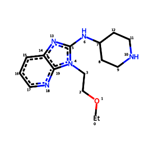 CCOCCn1c(NC2CCNCC2)nc2cccnc21